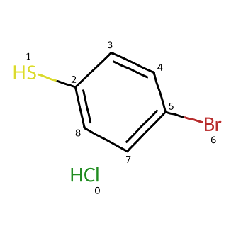 Cl.Sc1ccc(Br)cc1